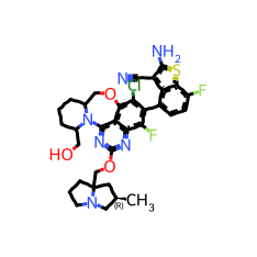 C[C@H]1CN2CCCC2(COc2nc3c4c(c(Cl)c(-c5ccc(F)c6sc(N)c(C#N)c56)c(F)c4n2)OCC2CCCC(CO)N32)C1